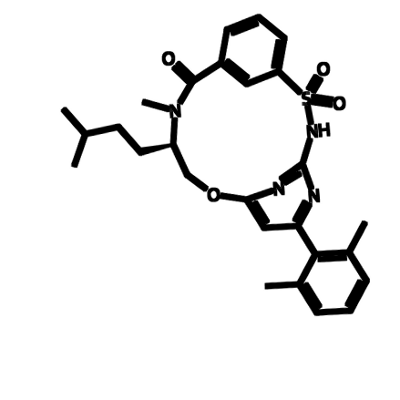 Cc1cccc(C)c1-c1cc2nc(n1)NS(=O)(=O)c1cccc(c1)C(=O)N(C)[C@H](CCC(C)C)CO2